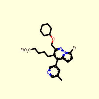 CCOC(=O)CCCCc1c(COC2CCCCC2)nn2c(CC)ccc2c1-c1cncc(C)c1